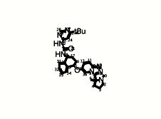 CN1CCCC1(C)c1nnc2ccc(O[C@@H]3CC[C@H](NC(=O)Nc4cc(C(C)(C)C)ncn4)c4ccccc43)cn12